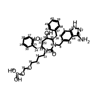 Nc1n[nH]c2ccc(CN3C(=O)N(CCCCOCOP(O)O)[C@H](Cc4ccccc4)[C@H](O)[C@@H](O)[C@H]3Cc3ccccc3)cc12